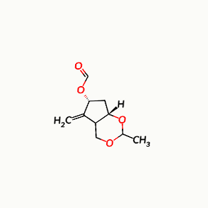 C=C1C2COC(C)O[C@H]2C[C@H]1OC=O